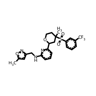 Cc1cc(CNc2cccc(C3CC(C)(S(=O)(=O)c4cccc(C(F)(F)F)c4)CCO3)n2)no1